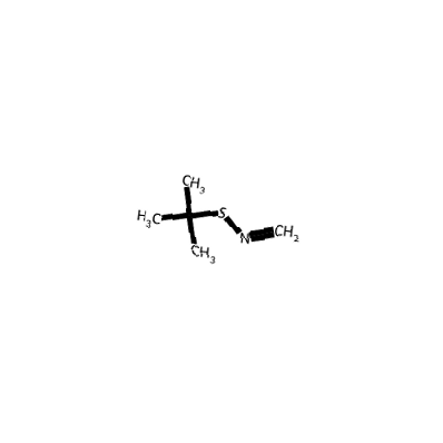 C=NSC(C)(C)C